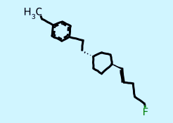 CCc1ccc(CC[C@H]2CC[C@H](C=CCCCF)CC2)cc1